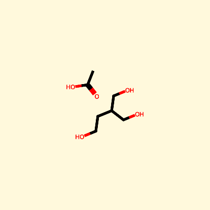 CC(=O)O.OCCC(CO)CO